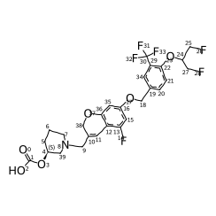 O=C(O)O[C@H]1CCCN(CC2=Cc3c(F)cc(OCc4ccc(OC(CF)CF)c(C(F)(F)F)c4)cc3OC2)C1